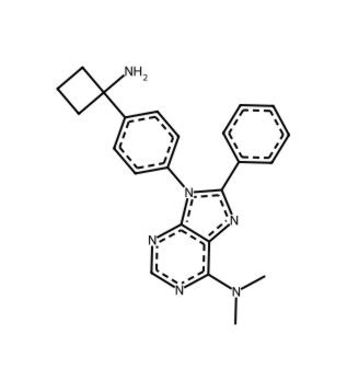 CN(C)c1ncnc2c1nc(-c1ccccc1)n2-c1ccc(C2(N)CCC2)cc1